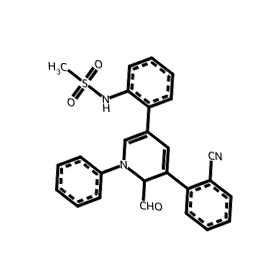 CS(=O)(=O)Nc1ccccc1C1=CN(c2ccccc2)C(C=O)C(c2ccccc2C#N)=C1